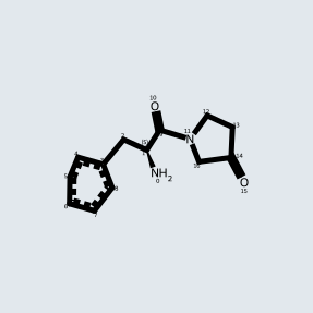 N[C@@H](Cc1ccccc1)C(=O)N1CCC(=O)C1